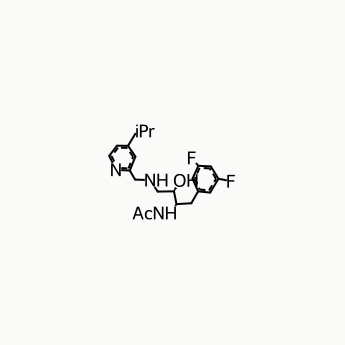 CC(=O)N[C@@H](Cc1cc(F)cc(F)c1)[C@H](O)CNCc1cc(C(C)C)ccn1